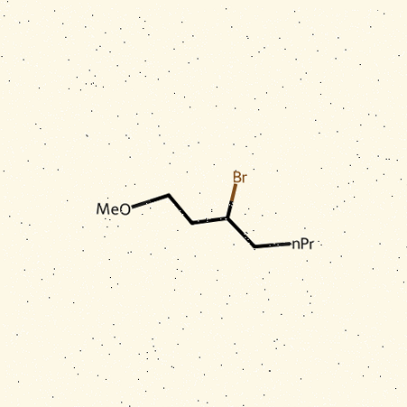 CCCCC(Br)CCOC